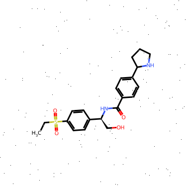 CCS(=O)(=O)c1ccc([C@H](CO)NC(=O)c2ccc(C3CCCN3)cc2)cc1